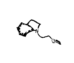 N#CCCN1CCc2ccccc21